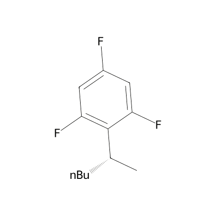 CCCC[C@@H](C)c1c(F)cc(F)cc1F